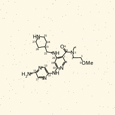 COCCN(C)C(=O)c1cnc(Nc2cnc(N)cn2)cc1NCC1CCNCC1